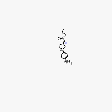 CCOC(=O)/C=C1\CC[C@H](c2ccc(N)cc2)C1